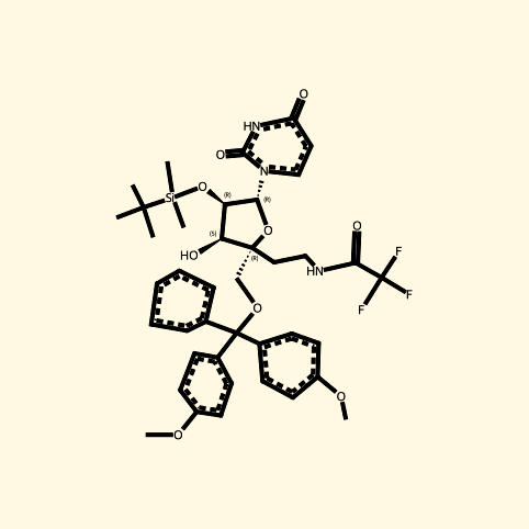 COc1ccc(C(OC[C@@]2(CCNC(=O)C(F)(F)F)O[C@@H](n3ccc(=O)[nH]c3=O)[C@H](O[Si](C)(C)C(C)(C)C)[C@@H]2O)(c2ccccc2)c2ccc(OC)cc2)cc1